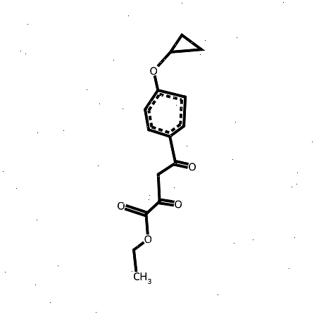 CCOC(=O)C(=O)CC(=O)c1ccc(OC2CC2)cc1